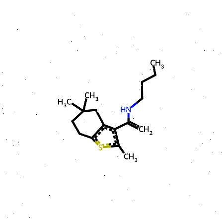 C=C(NCCCC)c1c(C)sc2c1CC(C)(C)CC2